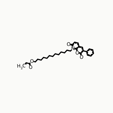 C=CC(=O)OCCCCCCCCCCCCCn1c(=O)ccc2cc(-c3ccccc3)c(=O)oc21